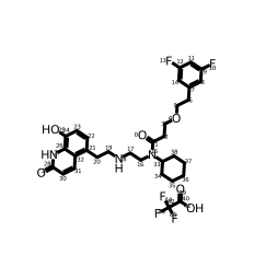 O=C(CCOCCc1cc(F)cc(F)c1)N(CCNCCc1ccc(O)c2[nH]c(=O)ccc12)C1CCCCC1.O=C(O)C(F)(F)F